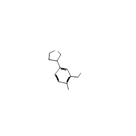 Cc1ccc(C2CCNC2)cc1CC(C)(C)C